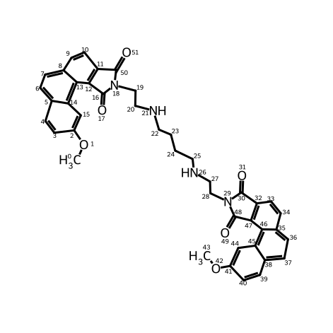 COc1ccc2ccc3ccc4c(c3c2c1)C(=O)N(CCNCCCCNCCN1C(=O)c2ccc3ccc5ccc(OC)cc5c3c2C1=O)C4=O